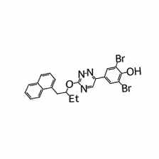 CCC(Cc1cccc2ccccc12)Oc1ncc(-c2cc(Br)c(O)c(Br)c2)nn1